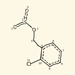 O=[SH](=O)O[CH]c1ccccc1Cl